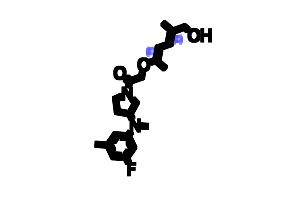 C/C(=C\C=C(/C)OCC(=O)N1CCC(N(C)c2cc(C)cc(F)c2)C1)CO